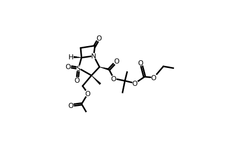 CCOC(=O)OC(C)(C)OC(=O)[C@@H]1N2C(=O)C[C@H]2S(=O)(=O)[C@@]1(C)COC(C)=O